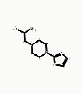 CC(N)CN1CCN(c2nccs2)CC1